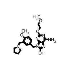 COCCOc1nc(N)c2nc(O)n(Cc3ccc(OC)c(CN4CCCC4)c3)c2n1